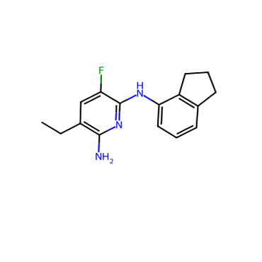 CCc1cc(F)c(Nc2cccc3c2CCC3)nc1N